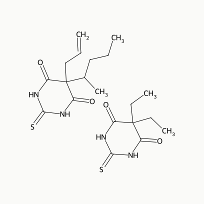 C=CCC1(C(C)CCC)C(=O)NC(=S)NC1=O.CCC1(CC)C(=O)NC(=S)NC1=O